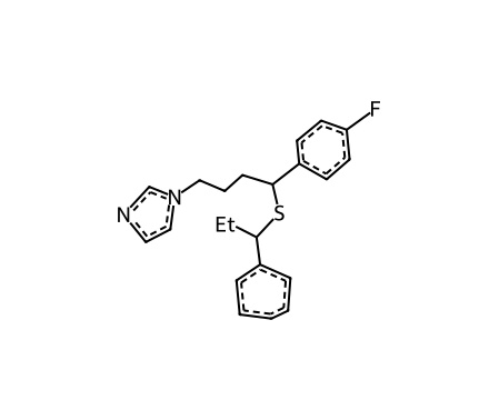 CCC(SC(CCCn1ccnc1)c1ccc(F)cc1)c1ccccc1